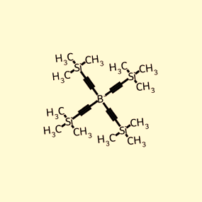 C[Si](C)(C)C#C[B-](C#C[Si](C)(C)C)(C#C[Si](C)(C)C)C#C[Si](C)(C)C